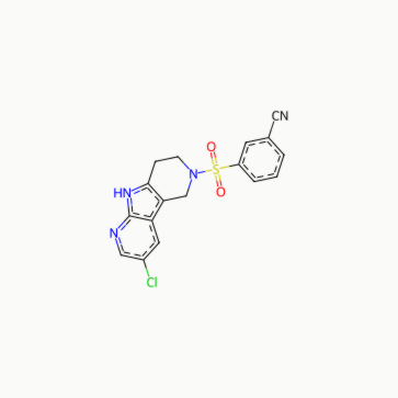 N#Cc1cccc(S(=O)(=O)N2CCc3[nH]c4ncc(Cl)cc4c3C2)c1